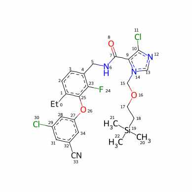 CCc1ccc(CNC(=O)c2c(Cl)ncn2COCC[Si](C)(C)C)c(F)c1Oc1cc(Cl)cc(C#N)c1